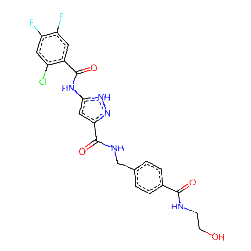 O=C(NCCO)c1ccc(CNC(=O)c2cc(NC(=O)c3cc(F)c(F)cc3Cl)[nH]n2)cc1